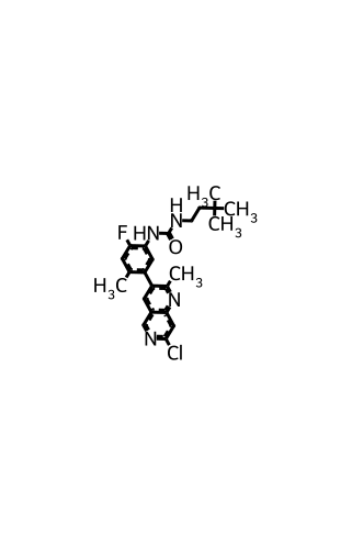 Cc1cc(F)c(NC(=O)NCCC(C)(C)C)cc1-c1cc2cnc(Cl)cc2nc1C